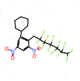 O=[N+]([O-])c1cc(C2CCCCC2)c([CH]C(F)(F)C(F)(F)C(F)(F)C(F)(F)C(F)(F)C(F)F)c([N+](=O)[O-])c1